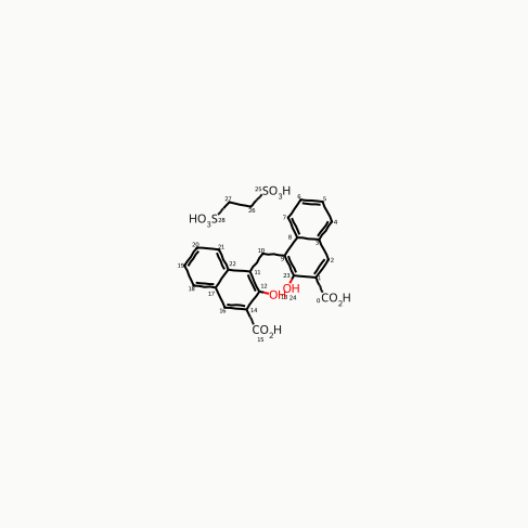 O=C(O)c1cc2ccccc2c(Cc2c(O)c(C(=O)O)cc3ccccc23)c1O.O=S(=O)(O)CCS(=O)(=O)O